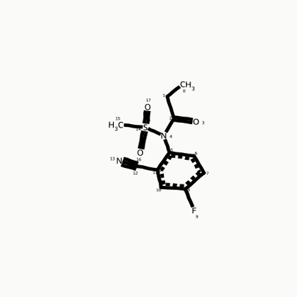 CCC(=O)N(c1c[c]c(F)cc1C#N)S(C)(=O)=O